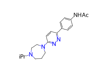 CC(=O)Nc1ccc(-c2ccc(N3CCCN(C(C)C)CC3)nn2)cc1